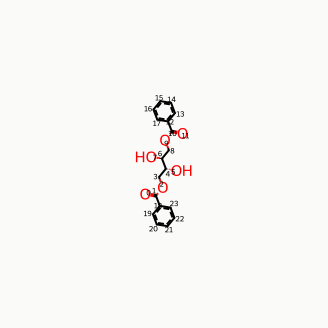 O=C(OC[C@@H](O)[C@@H](O)COC(=O)c1ccccc1)c1ccccc1